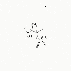 CC(C(O)F)C(F)OP(C)(=O)Cl